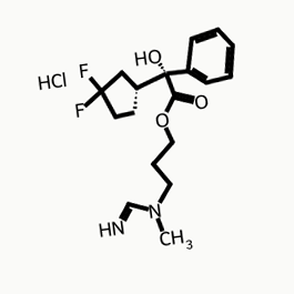 CN(C=N)CCCOC(=O)[C@](O)(c1ccccc1)[C@@H]1CCC(F)(F)C1.Cl